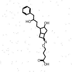 O=C(O)CCCON=C1CC2C1CC(O)C2CCC(O)Cc1ccccc1